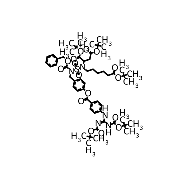 CC(C)(C)OC(=O)CCCCCN(C(CC(=O)OC(C)(C)C)C(=O)OC(C)(C)C)S(=O)(=O)N(Cc1ccc(OC(=O)c2ccc(NC(=NC(=O)OC(C)(C)C)NC(=O)OC(C)(C)C)cc2)cc1)C(=O)OCc1ccccc1